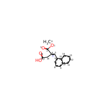 COC(=O)/C(=C/c1cccc2ccccc12)CC(=O)O